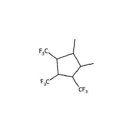 CC1C(C)C(C(F)(F)F)C(C(F)(F)F)C1C(F)(F)F